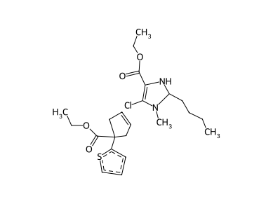 CCCCC1NC(C(=O)OCC)=C(Cl)N1C.CCOC(=O)C1(c2cccs2)CC=CC1